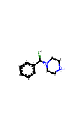 FC(c1ccccc1)N1[CH]CNCC1